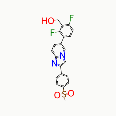 CS(=O)(=O)c1ccc(-c2cn3cc(-c4ccc(F)c(CO)c4F)ccc3n2)cc1